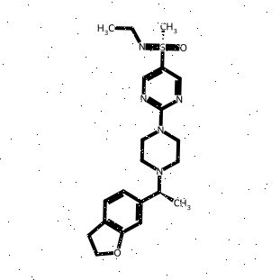 CCN=[S@@](C)(=O)c1cnc(N2CCN([C@@H](C)c3ccc4c(c3)OCC4)CC2)nc1